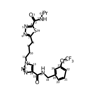 CC(C)NC(=O)c1nnc(CCCCn2cc(C(=O)NCc3cccc(OC(F)(F)F)c3)nn2)s1